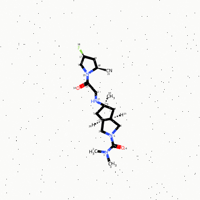 CN(C)C(=O)N1C[C@@H]2C[C@](C)(NCC(=O)N3C[C@@H](F)C[C@H]3C#N)C[C@@H]2C1